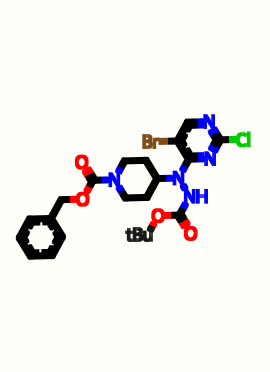 CC(C)(C)OC(=O)NN(c1nc(Cl)ncc1Br)C1CCN(C(=O)OCc2ccccc2)CC1